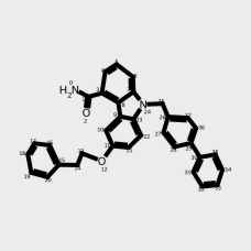 NC(=O)c1cccc2c1c1cc(OCCc3ccccc3)ccc1n2Cc1ccc(-c2ccccc2)cc1